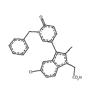 Cc1c(-c2ccc(=O)n(Cc3ccccc3)c2)c2cc(Cl)ccc2n1CC(=O)O